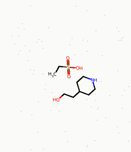 CCS(=O)(=O)O.OCCC1CCNCC1